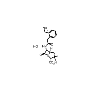 CC1(C)S[C@@H]2[C@H](NC(=O)Cc3ccccc3CN)C(=O)N2[C@H]1C(=O)O.Cl